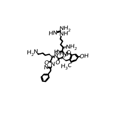 Cc1cc(O)cc(C)c1C[C@H](NC(=O)[C@H](N)CCCNC(=N)N)C(=O)N[C@H](CCCCN)c1nc(Cc2ccccc2)no1